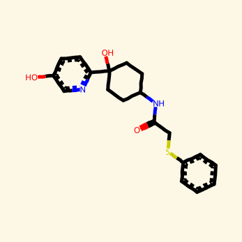 O=C(CSc1ccccc1)NC1CCC(O)(c2ccc(O)cn2)CC1